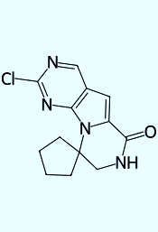 O=C1NCC2(CCCC2)n2c1cc1cnc(Cl)nc12